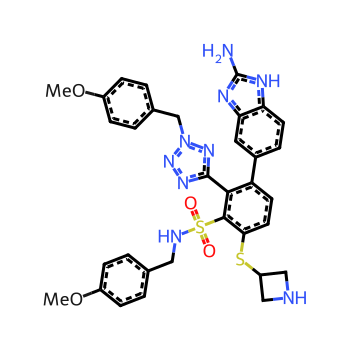 COc1ccc(CNS(=O)(=O)c2c(SC3CNC3)ccc(-c3ccc4[nH]c(N)nc4c3)c2-c2nnn(Cc3ccc(OC)cc3)n2)cc1